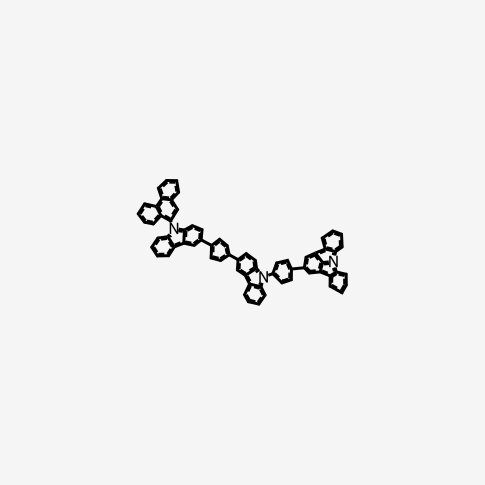 c1ccc2c(c1)cc(-n1c3ccccc3c3cc(-c4ccc(-c5ccc6c(c5)c5ccccc5n6-c5ccc(-c6cc7c8ccccc8n8c9ccccc9c(c6)c78)cc5)cc4)ccc31)c1ccccc12